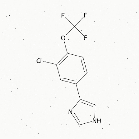 FC(F)(F)Oc1ccc(-c2c[nH][c]n2)cc1Cl